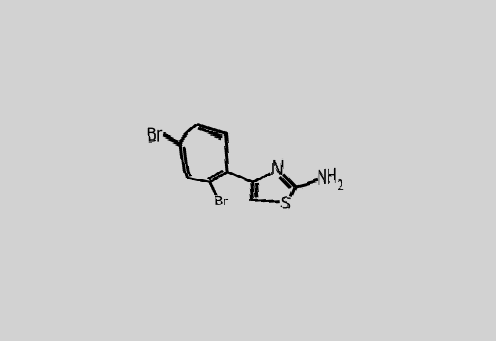 Nc1nc(-c2ccc(Br)cc2Br)cs1